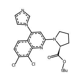 CC(C)(C)OC(=O)[C@@H]1CCCN1c1cc(-n2ccnc2)c2ccc(Cl)c(Cl)c2n1